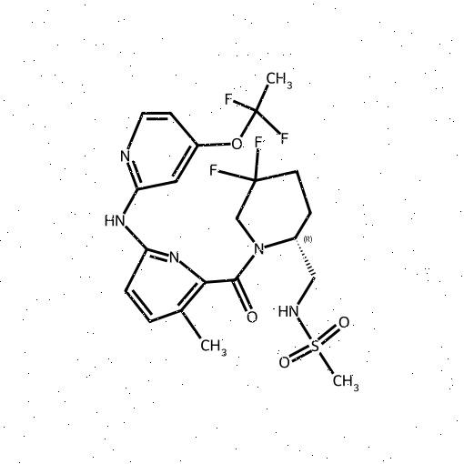 Cc1ccc(Nc2cc(OC(C)(F)F)ccn2)nc1C(=O)N1CC(F)(F)CC[C@@H]1CNS(C)(=O)=O